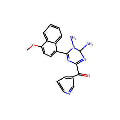 COc1ccc(C2=NC(C(=O)c3cccnc3)=NC(N)N2N)c2ccccc12